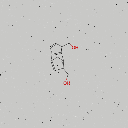 OCC1=C2CC(=C1)C1=C2C(CO)C=C1